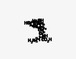 C[C@H](CCC(=O)NC(CCCCN)C(=O)O)[C@H]1CCC2[C@@H]3[C@H](O)C[C@@H]4C[C@H](O)CC[C@]4(C)[C@H]3C[C@H](O)[C@@]21C